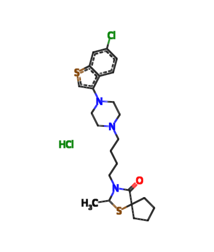 CC1SC2(CCCC2)C(=O)N1CCCCN1CCN(c2csc3cc(Cl)ccc23)CC1.Cl